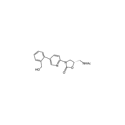 CC(=O)NC[C@H]1CN(c2ccc(-c3ccccc3CO)cn2)C(=O)O1